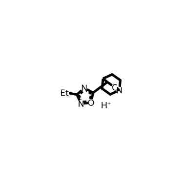 CCc1noc(C2CN3CCC2CC3)n1.[H+]